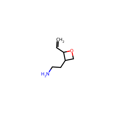 C=CC1OCC1CCN